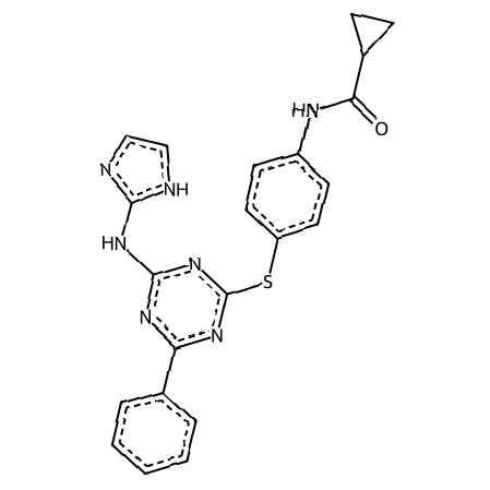 O=C(Nc1ccc(Sc2nc(Nc3ncc[nH]3)nc(-c3ccccc3)n2)cc1)C1CC1